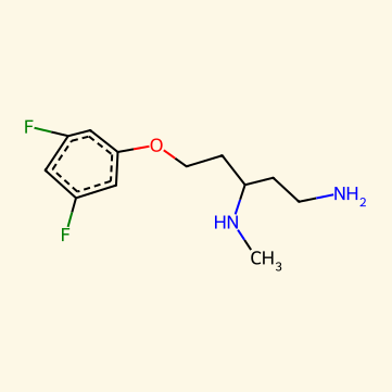 CNC(CCN)CCOc1cc(F)cc(F)c1